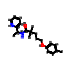 Cc1ccc(OCCCC(C)(C)C(=O)NC(C)c2ccccn2)cc1